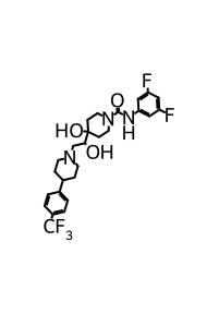 O=C(Nc1cc(F)cc(F)c1)N1CCC(O)(C(O)CN2CCC(c3ccc(C(F)(F)F)cc3)CC2)CC1